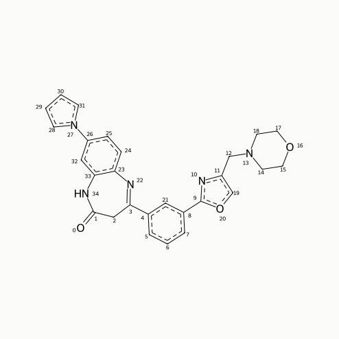 O=C1CC(c2cccc(-c3nc(CN4CCOCC4)co3)c2)=Nc2ccc(-n3cccc3)cc2N1